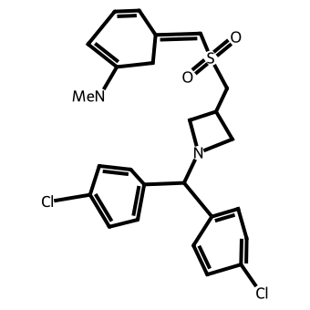 CNC1=CC=CC(=CS(=O)(=O)CC2CN(C(c3ccc(Cl)cc3)c3ccc(Cl)cc3)C2)C1